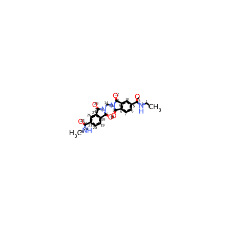 CCNC(=O)c1ccc2c(c1)C(=O)N(CN1C(=O)c3ccc(C(=O)NC)cc3C1=O)C2=O